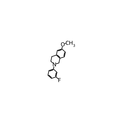 COc1ccc2c(c1)CCN(c1cccc(F)c1)C2